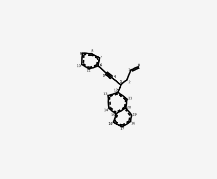 C=CCC(C#Cc1ccccc1)c1ccc2ccccc2c1